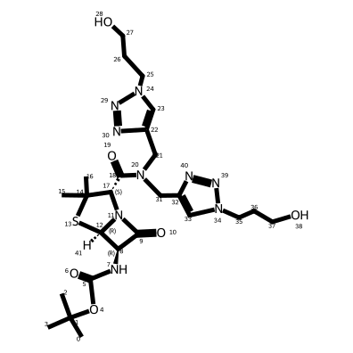 CC(C)(C)OC(=O)N[C@@H]1C(=O)N2[C@@H]1SC(C)(C)[C@@H]2C(=O)N(Cc1cn(CCCO)nn1)Cc1cn(CCCO)nn1